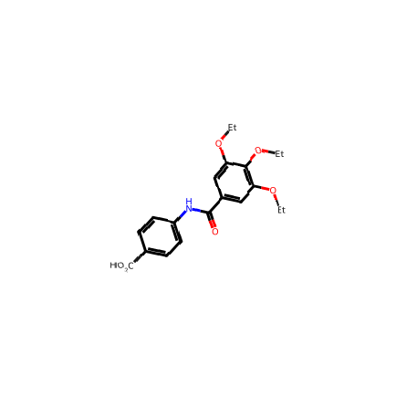 CCOc1cc(C(=O)Nc2ccc(C(=O)O)cc2)cc(OCC)c1OCC